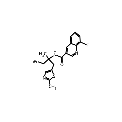 Cc1ncc(CC(C)(CC(C)C)NC(=O)c2cnc3c(F)cccc3c2)s1